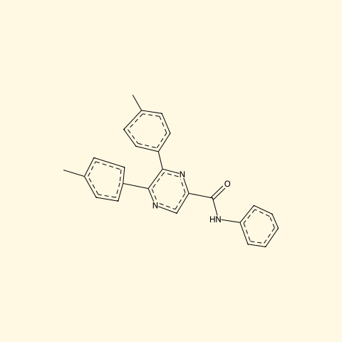 Cc1ccc(-c2ncc(C(=O)Nc3ccccc3)nc2-c2ccc(C)cc2)cc1